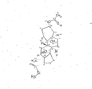 COC(=O)[C@H]1CC[C@]2(O)[C@@H]3CC[C@@H]4C[C@@H](OC(C)=O)CC[C@]4(C)[C@H]3CC[C@]12C